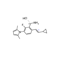 Cc1ccc(C)n1-c1ccc(/C=C/C2CC2)c([C@H](C)N)c1F.Cl